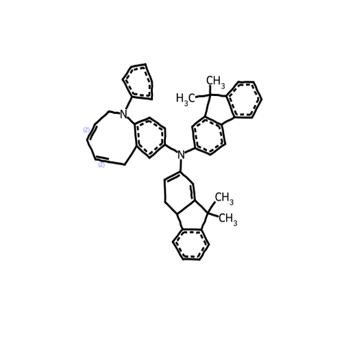 CC1(C)C2=CC(N(c3ccc4c(c3)C/C=C\C=C/CN4c3ccccc3)c3ccc4c(c3)C(C)(C)c3ccccc3-4)=CCC2c2ccccc21